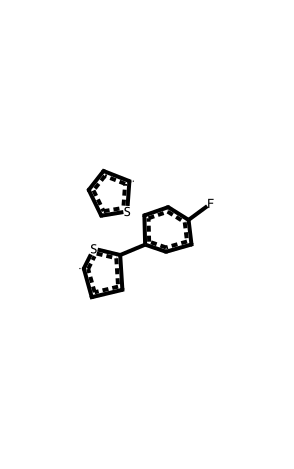 Fc1ccc(-c2cc[c]s2)cc1.[c]1cccs1